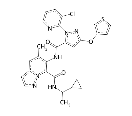 Cc1cc2ccnn2c(C(=O)NC(C)C2CC2)c1NC(=O)c1cc(Oc2ccsc2)nn1-c1ncccc1Cl